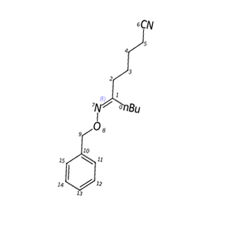 CCCC/C(CCCCC#N)=N\OCc1ccccc1